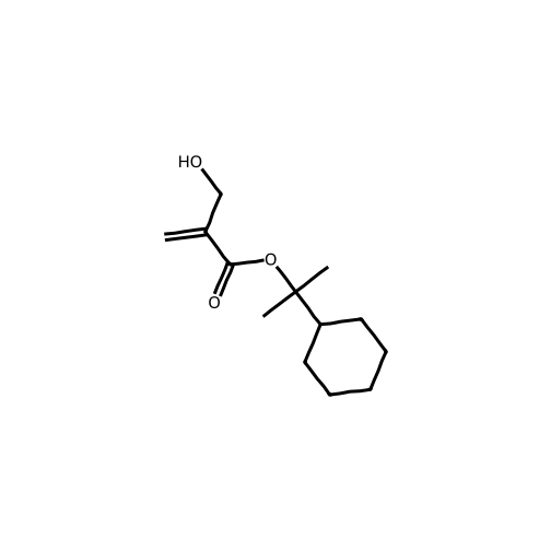 C=C(CO)C(=O)OC(C)(C)C1CCCCC1